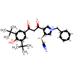 CC(C)(C)c1cc(C(=O)CC(=O)c2cn(Cc3ccccc3)cc2SC#N)cc(C(C)(C)C)c1O